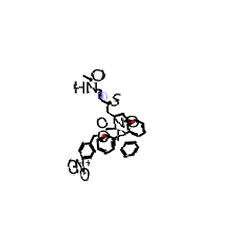 CC(=O)N/C=C/C(=S)CC1CC(=O)N1C(C(=O)OCc1ccc([N+](=O)[O-])cc1)=P(c1ccccc1)(c1ccccc1)c1ccccc1